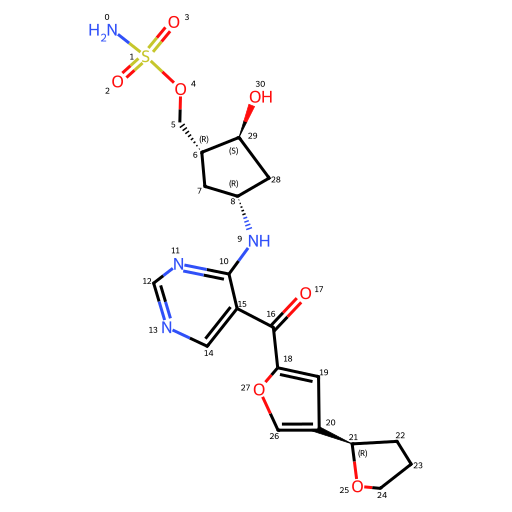 NS(=O)(=O)OC[C@H]1C[C@@H](Nc2ncncc2C(=O)c2cc([C@H]3CCCO3)co2)C[C@@H]1O